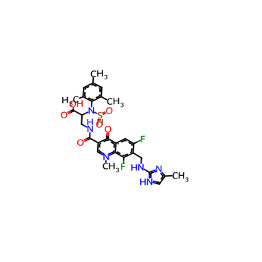 Cc1cc(C)c(N(C(CNC(=O)c2cn(C)c3c(F)c(CNc4nc(C)c[nH]4)c(F)cc3c2=O)C(=O)O)[SH](=O)=O)c(C)c1